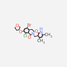 Cc1cc(C)c(CN2CCc3c(Br)cc(O[C@@H]4CCOC4)c(Cl)c3C2=O)c(=O)[nH]1